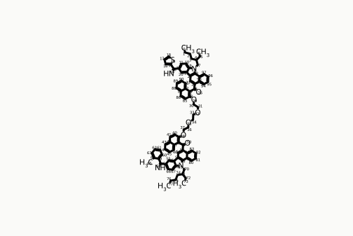 CCCCC(CC)Cn1c2ccc(C(=N)c3cccs3)cc2c2cc(C(=O)c3c(OCCOCCOCCOc4ccc5ccccc5c4C(=O)c4cc5c6cc(C(=N)c7ccccc7C)ccc6n(CC(CC)CCCC)c5c5ccccc45)ccc4ccccc34)c3ccccc3c21